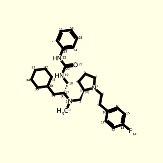 CN(C[C@H]1CCCN1CCc1ccc(F)cc1)[C@@H](CNC(=O)Nc1ccccc1)CC1CCCCC1